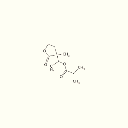 CC(C)C(=O)OC(C)C1(C)CCOC1=O